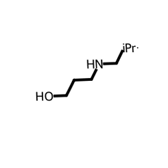 C[C](C)CNCCCO